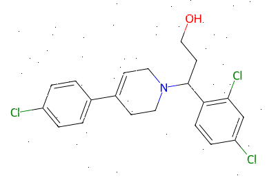 OCCC(c1ccc(Cl)cc1Cl)N1CC=C(c2ccc(Cl)cc2)CC1